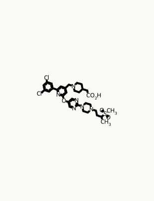 CC(CCN1CCN(c2ncc(Oc3cc(CN4CCC(CC(=O)O)CC4)cc(-c4cc(Cl)cc(Cl)c4)n3)cn2)CC1)S(C)(=O)=O